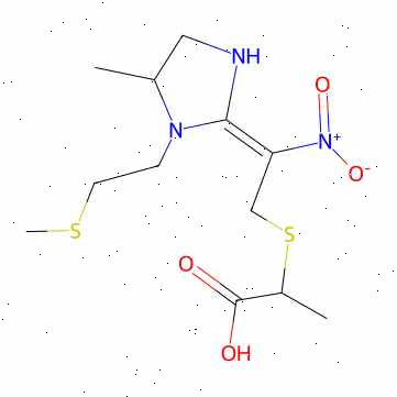 CSCCN1C(=C(CSC(C)C(=O)O)[N+](=O)[O-])NCC1C